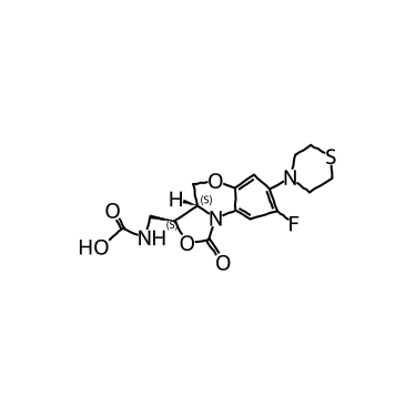 O=C(O)NC[C@@H]1OC(=O)N2c3cc(F)c(N4CCSCC4)cc3OC[C@@H]12